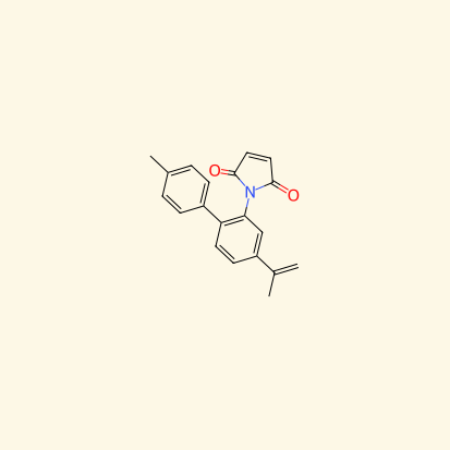 C=C(C)c1ccc(-c2ccc(C)cc2)c(N2C(=O)C=CC2=O)c1